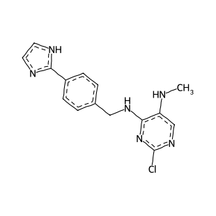 CNc1cnc(Cl)nc1NCc1ccc(-c2ncc[nH]2)cc1